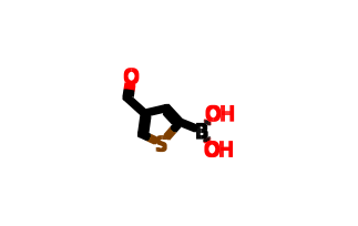 O=Cc1csc(B(O)O)c1